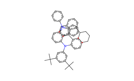 CC(C)(C)c1cc(N(c2ccccc2-c2cccc3cccc(C4CCCCC4)c23)c2cccc3c2c2ccccc2n3-c2ccccc2)cc(C(C)(C)C)c1